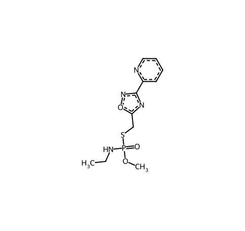 CCNP(=O)(OC)SCc1nc(-c2ccccn2)no1